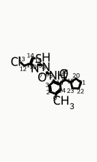 Cc1ccc(NC(=O)Nc2nc(CCl)cs2)c(C(=O)C2CCCC2)c1